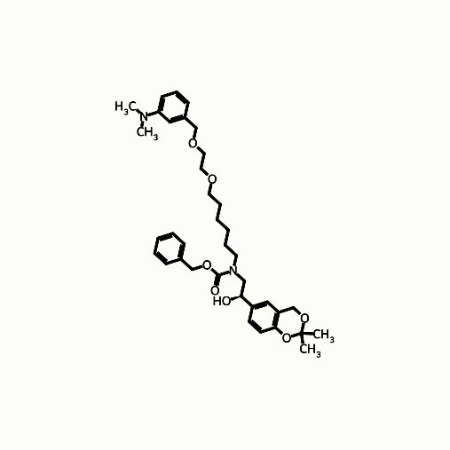 CN(C)c1cccc(COCCOCCCCCCN(C[C@H](O)c2ccc3c(c2)COC(C)(C)O3)C(=O)OCc2ccccc2)c1